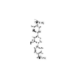 CCCCCCc1ccc(-c2ccc(-c3ncc(CCCCC)cn3)cc2F)cc1